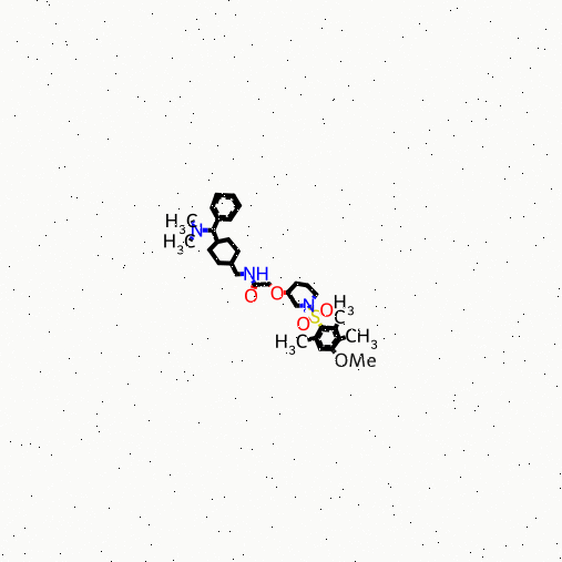 COc1cc(C)c(S(=O)(=O)N2CCCC(OCC(=O)NCC3CCC(C(c4ccccc4)N(C)C)CC3)C2)c(C)c1C